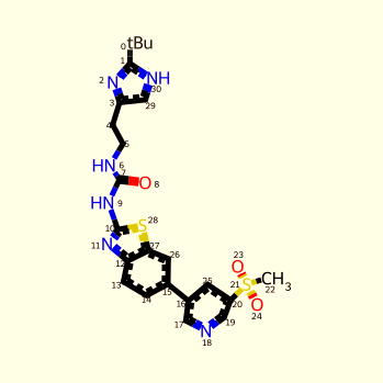 CC(C)(C)c1nc(CCNC(=O)Nc2nc3ccc(-c4cncc(S(C)(=O)=O)c4)cc3s2)c[nH]1